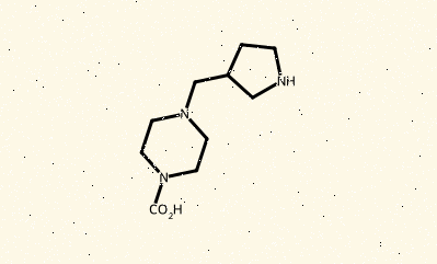 O=C(O)N1CCN(CC2CCNC2)CC1